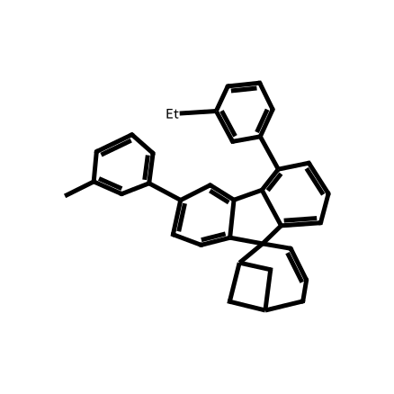 CCc1cccc(-c2cccc3c2-c2cc(-c4cccc(C)c4)ccc2C32C=CCC3CC2C3)c1